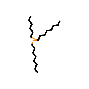 CCCCCCCCP(CCCCCC)CCCCCCCC